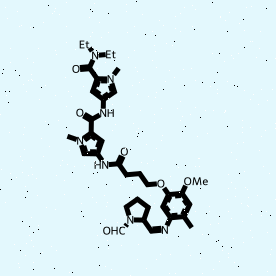 CCN(CC)C(=O)c1cc(NC(=O)c2cc(NC(=O)CCCOc3cc(/N=C\C4CCCN4C=O)c(C)cc3OC)cn2C)cn1C